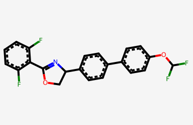 Fc1cccc(F)c1C1=NC(c2ccc(-c3ccc(OC(F)F)cc3)cc2)CO1